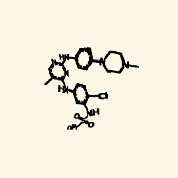 CCCS(=O)(=O)Nc1cc(Nc2nc(Nc3ccc(N4CCN(C)CC4)cc3)ncc2C)ccc1Cl